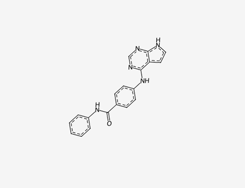 O=C(Nc1ccccc1)c1ccc(Nc2ncnc3[nH]ccc23)cc1